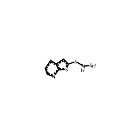 SNSc1cc2cccnc2s1